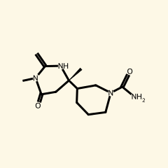 C=C1N[C@](C)(C2CCCN(C(N)=O)C2)CC(=O)N1C